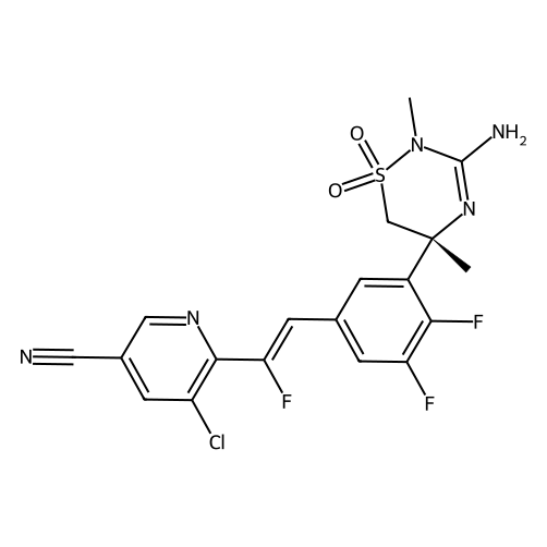 CN1C(N)=N[C@](C)(c2cc(/C=C(\F)c3ncc(C#N)cc3Cl)cc(F)c2F)CS1(=O)=O